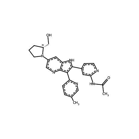 CC(=O)Nc1cc(-c2[nH]c3cc(N4CCC[C@@H]4CO)cnc3c2-c2ccc(C)cn2)ccn1